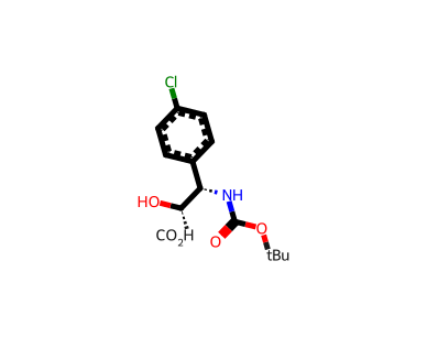 CC(C)(C)OC(=O)N[C@@H](c1ccc(Cl)cc1)[C@@H](O)C(=O)O